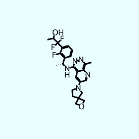 Cc1nnc(N[C@H](C)c2cccc(C(F)(F)C(C)O)c2F)c2cc(N3CCC4(COC4)C3)cnc12